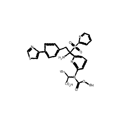 CC(C)(C)OC(=O)N(c1cccc(C(N)(Cc2ccc(-c3cscn3)cc2)S(=O)(=O)c2ccccn2)n1)C(C(=O)O)C(C)(C)C